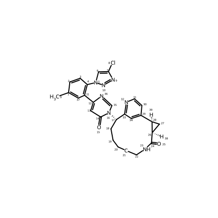 Cc1ccc(-n2cc(Cl)nn2)c(-c2cc(=O)n([C@H]3CCCCCNC(=O)[C@@H]4C[C@@H]4c4ccnc3c4)cn2)c1